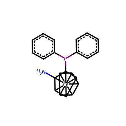 N[C]12[CH]3[CH]4[CH]5[C]1(P(c1ccccc1)c1ccccc1)[Fe]43521678[CH]2[CH]1[CH]6[CH]7[CH]28